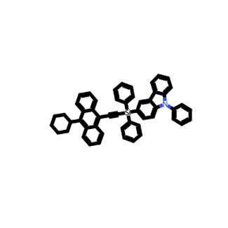 C(#C[Si](c1ccccc1)(c1ccccc1)c1ccc2c(c1)c1ccccc1n2-c1ccccc1)c1c2ccccc2c(C2CCCCC2)c2ccccc12